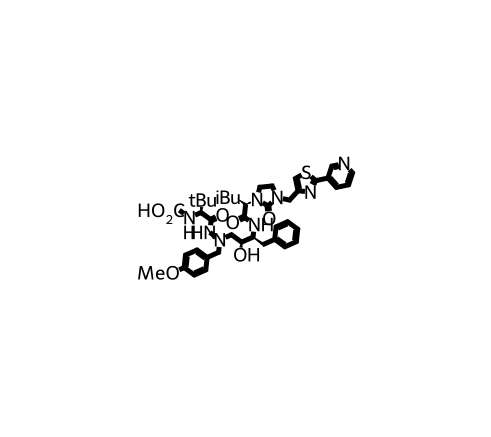 CC[C@H](C)[C@@H](C(=O)N[C@@H](Cc1ccccc1)[C@@H](O)CN(Cc1ccc(OC)cc1)NC(=O)[C@@H](NC(=O)O)C(C)(C)C)N1CCN(Cc2csc(-c3cccnc3)n2)C1=O